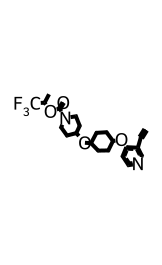 C#Cc1cnccc1OC1CCC(OC2CCN(C(=O)OC(C)C(F)(F)F)CC2)CC1